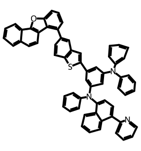 c1ccc(N(c2ccccc2)c2cc(-c3cc4cc(-c5cccc6oc7c8ccccc8ccc7c56)ccc4s3)cc(N(c3ccccc3)c3ccc(-c4ccccn4)c4ccccc34)c2)cc1